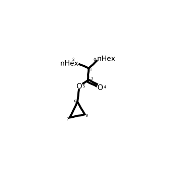 CCCCCCC(CCCCCC)C(=O)OC1CC1